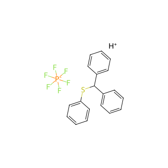 F[P-](F)(F)(F)(F)F.[H+].c1ccc(SC(c2ccccc2)c2ccccc2)cc1